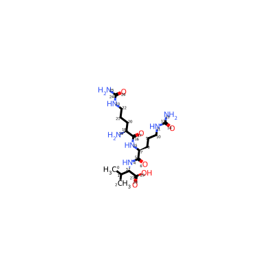 CC(C)[C@H](NC(=O)[C@H](CCCNC(N)=O)NC(=O)[C@@H](N)CCCNC(N)=O)C(=O)O